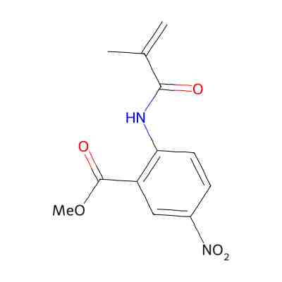 C=C(C)C(=O)Nc1ccc([N+](=O)[O-])cc1C(=O)OC